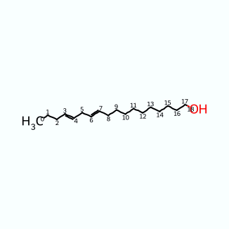 CCC/C=C/C/C=C/CCCCCCCCCCO